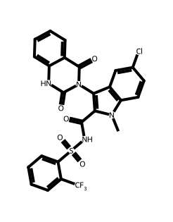 Cn1c(C(=O)NS(=O)(=O)c2ccccc2C(F)(F)F)c(-n2c(=O)[nH]c3ccccc3c2=O)c2cc(Cl)ccc21